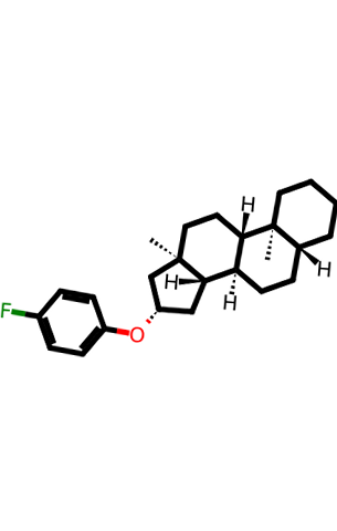 C[C@]12CC[C@H]3[C@@H](CC[C@H]4CCCC[C@@]43C)[C@@H]1C[C@H](Oc1ccc(F)cc1)C2